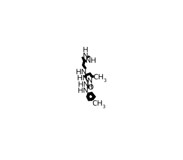 Cc1ccc(NC(=O)NC2NC(C)CC(NCCC3CNCN3)N2)cc1